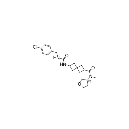 CN(C(=O)C1CC2(CC(NC(=O)NCc3ccc(Cl)cc3)C2)C1)[C@@H]1CCOC1